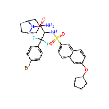 NC1CC2CCC(C1)N2C(=O)C(NS(=O)(=O)c1ccc2cc(OC3CCCC3)ccc2c1)C(F)(F)c1ccc(Br)cc1